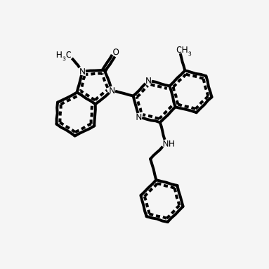 Cc1cccc2c(NCc3ccccc3)nc(-n3c(=O)n(C)c4ccccc43)nc12